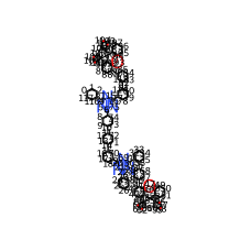 c1ccc(-c2nc(-c3ccc(-c4ccc(-c5cccc(-c6nc(-c7ccccc7)nc(-c7ccccc7-c7ccc(-c8cccc9c8Oc8ccccc8C98c9ccccc9-c9ccccc98)cc7)n6)c5)cc4)cc3)nc(-c3cccc(-c4cccc(-c5cccc6c5Oc5ccccc5C65c6ccccc6-c6ccccc65)c4)c3)n2)cc1